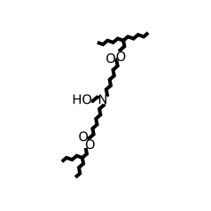 CCCCCC(CCCCC)CCOC(=O)CCCCCCCN(CCO)CCCCCCCC(=O)OCCC(CCCC)CCCC